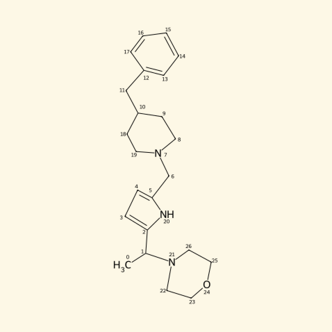 CC(c1ccc(CN2CCC(Cc3ccccc3)CC2)[nH]1)N1CCOCC1